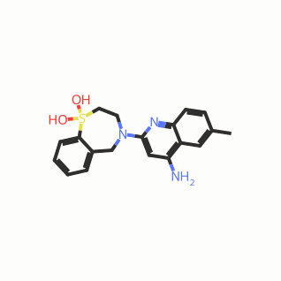 Cc1ccc2nc(N3CCS(O)(O)c4ccccc4C3)cc(N)c2c1